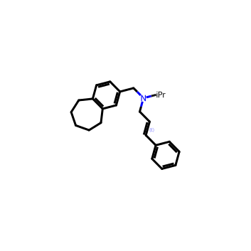 CC(C)N(C/C=C/c1ccccc1)Cc1ccc2c(c1)CCCCC2